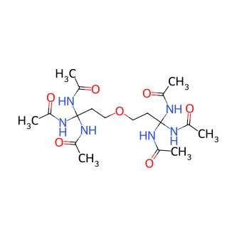 CC(=O)NC(CCOCCC(NC(C)=O)(NC(C)=O)NC(C)=O)(NC(C)=O)NC(C)=O